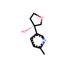 Cc1ccc([C@@]2(O)CCOC2)cn1